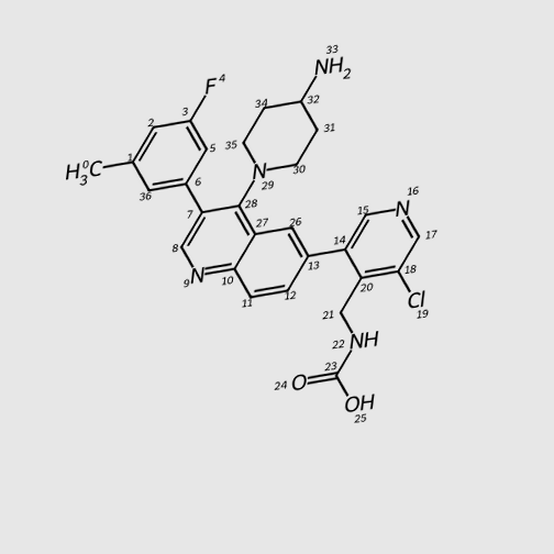 Cc1cc(F)cc(-c2cnc3ccc(-c4cncc(Cl)c4CNC(=O)O)cc3c2N2CCC(N)CC2)c1